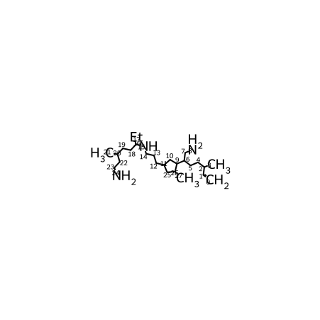 C=CC(C)CCC(CN)C1CC(CCCNC(CC)CCC(C)CCN)CC1C